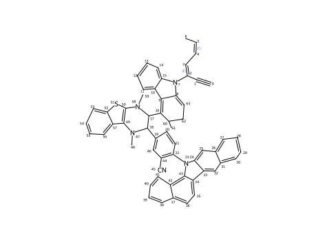 C#C/C(=C\C=C/C)n1c2c(c3ccccc31)=C(C1C(c3ccc(-n4c5cc6ccccc6cc5c5ccc6ccccc6c54)c(C#N)c3)N(C)c3c(sc4ccccc34)N1C)C(C)CC=2